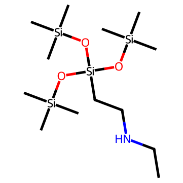 CCNCC[Si](O[Si](C)(C)C)(O[Si](C)(C)C)O[Si](C)(C)C